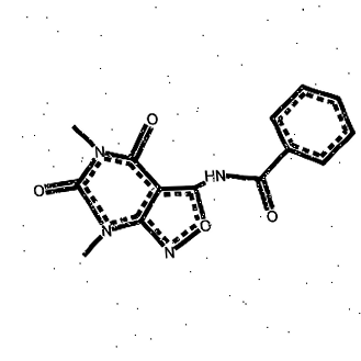 Cn1c(=O)c2c(NC(=O)c3ccccc3)onc2n(C)c1=O